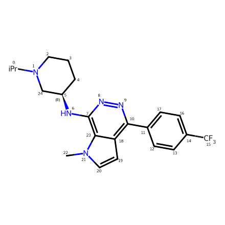 CC(C)N1CCC[C@@H](Nc2nnc(-c3ccc(C(F)(F)F)cc3)c3ccn(C)c23)C1